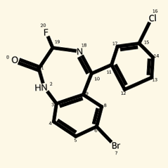 O=C1Nc2ccc(Br)cc2C(c2cccc(Cl)c2)=NC1F